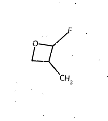 CC1COC1F